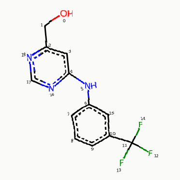 OCc1cc(Nc2cccc(C(F)(F)F)c2)ncn1